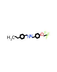 CCCc1ccc(C=NN=Cc2ccc(OCC(F)(F)F)cc2)cc1